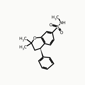 CNS(=O)(=O)c1ccc2c(c1)OC(C)(C)C[C@@H]2c1ccccc1